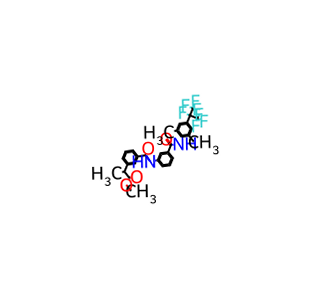 COC(=O)C(C)c1cccc(C(=O)Nc2cccc(C(=O)Nc3c(C)cc(C(F)(C(F)(F)F)C(F)(F)F)cc3C)c2)c1